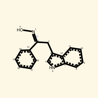 O/N=C(/Cc1c[nH]c2ccccc12)c1ccccc1